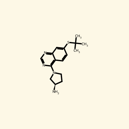 CC(C)(C)Sc1ccc2c(N3CC[C@@H](N)C3)ncnc2c1